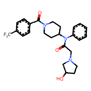 O=C(c1ccc(C(F)(F)F)cc1)N1CCC(N(C(=O)CN2CCC(O)C2)c2ccccc2)CC1